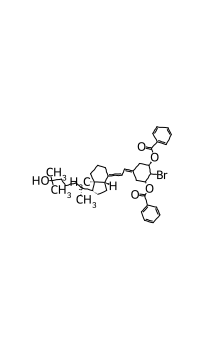 C[C@H](CCCC(C)(C)O)[C@H]1CC[C@H]2/C(=C/C=C3C[C@@H](OC(=O)c4ccccc4)C(Br)[C@H](OC(=O)c4ccccc4)C3)CCC[C@]12C